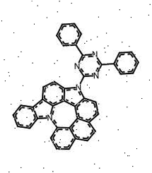 c1ccc(-c2nc(-c3ccccc3)nc(-n3c4ccc5ccc6cccc7c6c5c4c4c3ccc3c5ccccc5n7c34)n2)cc1